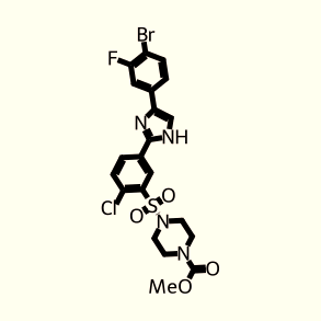 COC(=O)N1CCN(S(=O)(=O)c2cc(-c3nc(-c4ccc(Br)c(F)c4)c[nH]3)ccc2Cl)CC1